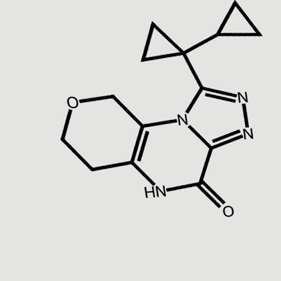 O=c1[nH]c2c(n3c(C4(C5CC5)CC4)nnc13)COCC2